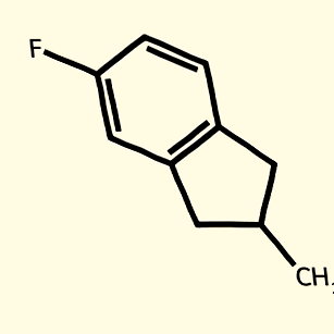 CC1Cc2ccc(F)cc2C1